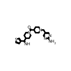 N=C(c1ccsc1)C1CCN(C(=O)C2CCN(Cc3cnc(N)nc3)CC2)CC1